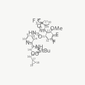 COc1c([C@H]2[C@H](C(=O)Nc3ccnc(C(COCC4CC4)N[S+]([O-])C(C)(C)C)c3)O[C@@](C)(C(F)(F)F)[C@H]2C)ccc(F)c1F